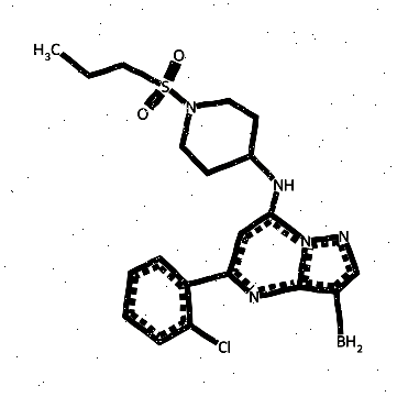 Bc1cnn2c(NC3CCN(S(=O)(=O)CCC)CC3)cc(-c3ccccc3Cl)nc12